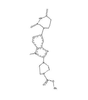 Cn1c(N2CCN(C(=O)OC(C)(C)C)CC2)nc2cc(C3CCC(=O)NC3=O)ccc21